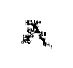 NCCNC(O)CC(O)(O)O.O=C([O-])[O-].[K+].[K+]